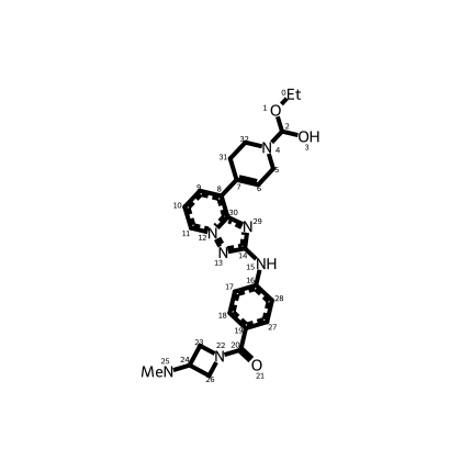 CCOC(O)N1CC=C(c2cccn3nc(Nc4ccc(C(=O)N5CC(NC)C5)cc4)nc23)CC1